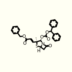 C[C@@]1(/C=C/C(=O)OCc2ccccc2)S[C@@H]2CC(=O)N2[C@H]1OC(=O)OC(c1ccccc1)c1ccccc1